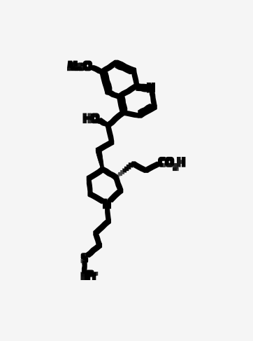 CCCSCCCN1CC[C@@H](CC[C@@H](O)c2ccnc3ccc(OC)cc23)[C@H](CCC(=O)O)C1